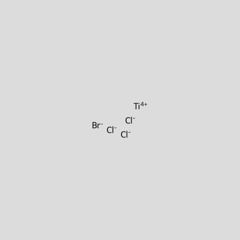 [Br-].[Cl-].[Cl-].[Cl-].[Ti+4]